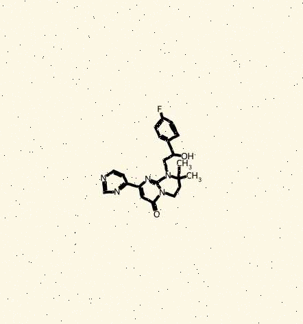 CC1(C)CCn2c(nc(-c3ccncn3)cc2=O)N1CC(O)c1ccc(F)cc1